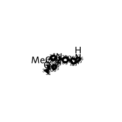 COc1ccc2nc(-c3ccc(-c4ccc5cc[nH]c5c4)cc3)n(C[C@H]3CCN(C(=O)C4CC4)C3)c2c1